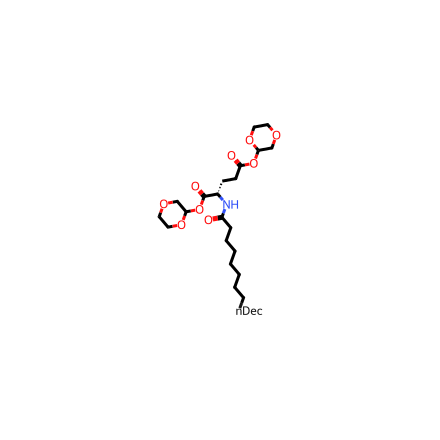 CCCCCCCCCCCCCCCCCC(=O)N[C@@H](CCC(=O)OC1COCCO1)C(=O)OC1COCCO1